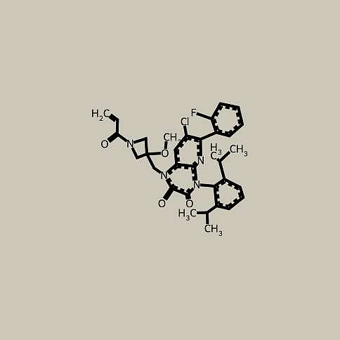 C=CC(=O)N1CC(Cn2c(=O)c(=O)n(-c3c(C(C)C)cccc3C(C)C)c3nc(-c4ccccc4F)c(Cl)cc32)(OC)C1